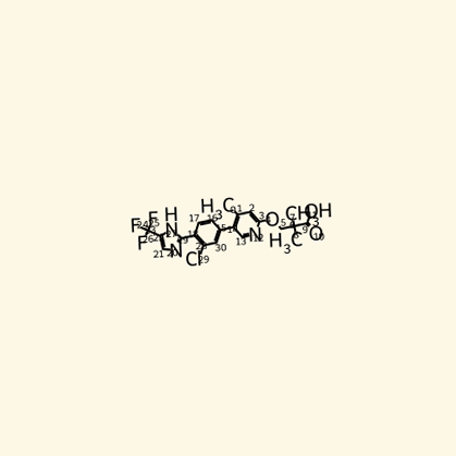 Cc1cc(OCC(C)(C)C(=O)O)ncc1-c1ccc(-c2ncc(C(F)(F)F)[nH]2)c(Cl)c1